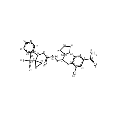 NC(=O)c1ccc(CC(CNC(=O)CC(c2cccnc2)C2(C(F)(F)F)CC2)N2CCCC2)c(Cl)c1